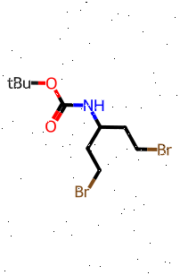 CC(C)(C)OC(=O)NC(CCBr)CCBr